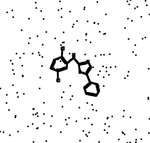 Clc1ccc(Cl)c(Nc2ncc(-c3ccccc3)s2)c1